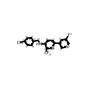 Fc1cncc(-c2ccc(NCc3ccc(Cl)cc3)c(C(F)(F)F)n2)c1